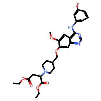 CCOC(=O)CC(C(=O)OCC)N1CCC(COc2cc3ncnc(Nc4cccc(Br)c4)c3cc2OC)CC1